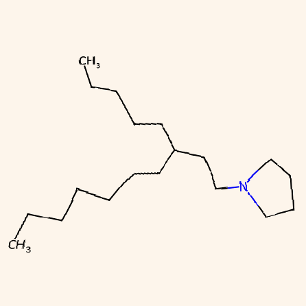 CCCCCCCC(CCCCC)CCN1CCCC1